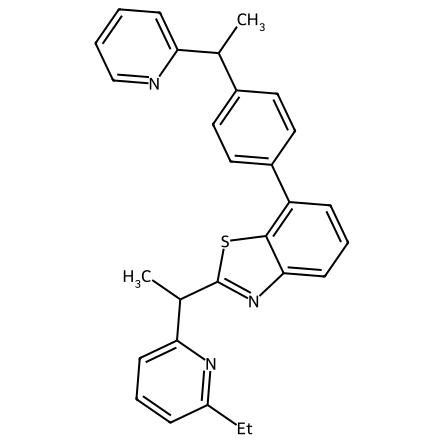 CCc1cccc(C(C)c2nc3cccc(-c4ccc(C(C)c5ccccn5)cc4)c3s2)n1